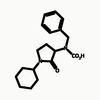 O=C1C(N(Cc2ccccc2)C(=O)O)CCN1C1CCCCC1